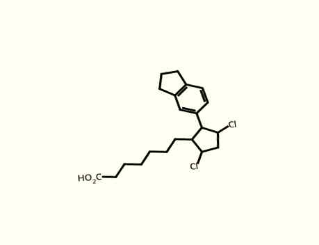 O=C(O)CCCCCCC1C(Cl)CC(Cl)C1c1ccc2c(c1)CCC2